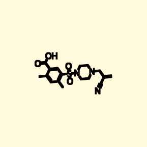 C=C(C#N)CN1CCN(S(=O)(=O)c2cc(C(=O)O)c(C)cc2C)CC1